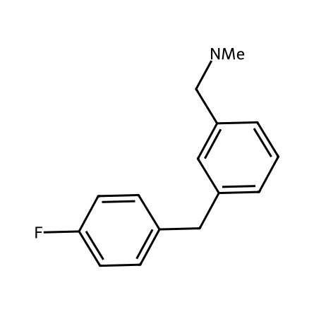 CNCc1cccc(Cc2ccc(F)cc2)c1